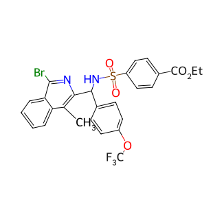 CCOC(=O)c1ccc(S(=O)(=O)NC(c2ccc(OC(F)(F)F)cc2)c2nc(Br)c3ccccc3c2C)cc1